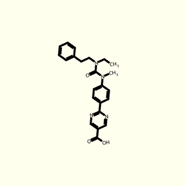 CCN(CCc1ccccc1)C(=O)N(C)c1ccc(-c2ncc(C(=O)O)cn2)cc1